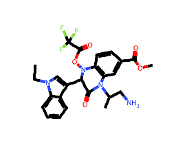 CCn1cc(C2C(=O)N(C(C)CN)c3cc(C(=O)OC)ccc3N2OC(=O)C(F)(F)F)c2ccccc21